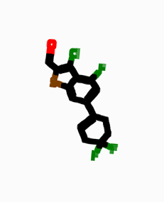 O=Cc1sc2cc(C3=CCC(F)(F)CC3)cc(F)c2c1Cl